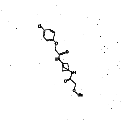 CC(C)(C)OCC(=O)NC12CC(NC(=O)COc3ccc(Cl)cc3)(C1)C2